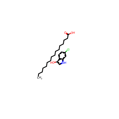 CCCCCCCCCCCCCCCC(=O)O.Oc1c[nH]c2cc(Cl)ccc12